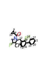 C[C@H]1[C@@H](F)CN(C(=O)C2CC2)[C@H]1Cc1cccc(-c2ccccc2F)c1F